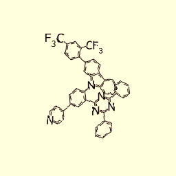 FC(F)(F)c1ccc(-c2ccc3c4ccccc4n(-c4ccc(-c5ccncc5)cc4-c4nc(-c5ccccc5)nc(-c5ccccc5)n4)c3c2)c(C(F)(F)F)c1